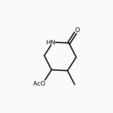 CC(=O)OC1CNC(=O)CC1C